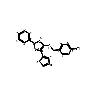 Clc1ccc(CNC2=C(c3cccs3)NC(c3ccccc3)S2)cc1